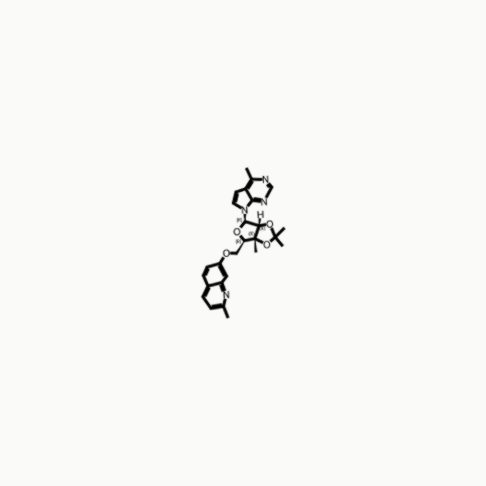 Cc1ccc2ccc(OC[C@H]3O[C@@H](n4ccc5c(C)ncnc54)[C@@H]4OC(C)(C)O[C@]34C)cc2n1